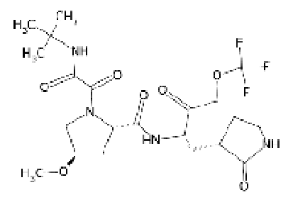 CO[C@@H]1C[C@@H](C(=O)N[C@@H](C[C@@H]2CCNC2=O)C(=O)COC(F)(F)F)N(C(=O)C(=O)NC(C)(C)C)C1